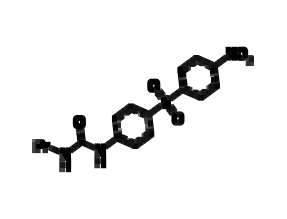 CC(C)NC(=O)Nc1ccc(S(=O)(=O)c2ccc([N+](=O)[O-])cc2)cc1